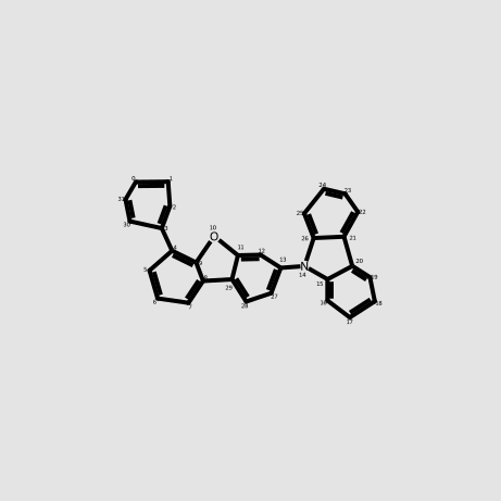 c1ccc(-c2cccc3c2oc2cc(-n4c5ccccc5c5ccccc54)ccc23)cc1